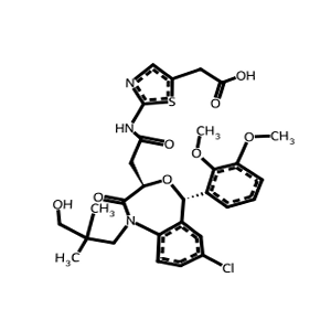 COc1cccc([C@H]2O[C@H](CC(=O)Nc3ncc(CC(=O)O)s3)C(=O)N(CC(C)(C)CO)c3ccc(Cl)cc32)c1OC